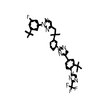 CC(C)(C)c1cc(F)cc(-n2ncc(CC(C)(C)c3cccc(-n4ncc(-c5ccc(-n6cnc(C(F)(F)F)n6)c(C(C)(C)C)c5)n4)c3)n2)c1